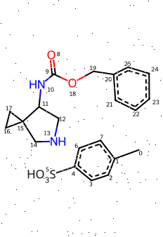 Cc1ccc(S(=O)(=O)O)cc1.O=C(NC1CNCC12CC2)OCc1ccccc1